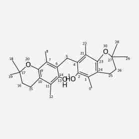 Cc1c(O)c(Cc2c(C)c3c(c(C)c2O)CCC(C)(C)O3)c(C)c2c1CCC(C)(C)O2